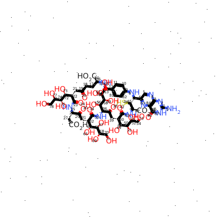 Nc1nc2ncc(CNc3ccc(C(=O)N[C@@H](CCC(=O)C[C@H](C(=O)N[C@@H](CC(=O)O)C(=O)C[C@H](C(=O)N[C@H](C(=O)C[C@H](C(=O)N[C@@H](CS)C(=O)O)[C@@H](O)[C@H](O)[C@H](O)CO)[C@@H](O)[C@H](O)[C@H](O)CO)[C@@H](O)[C@H](O)[C@H](O)CO)[C@@H](O)[C@H](O)[C@H](O)CO)C(=O)O)cc3)nc2c(=O)[nH]1